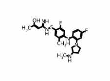 CNC1CCN(c2cc(F)ccc2Nc2cc(F)c(SNC(=N)/C=C(/C)O)cc2C)C1